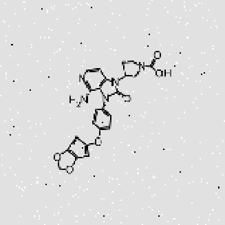 Nc1nccc2c1n(-c1ccc(Oc3ccc4c(c3)OCO4)cc1)c(=O)n2C1CCN(C(=O)O)C1